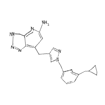 Nc1cc(Cc2cnn(-c3cccc(C4CC4)c3)c2)c2nn[nH]c2n1